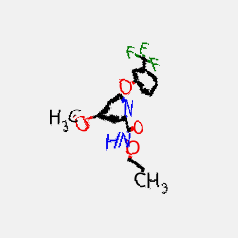 CCCONC(=O)c1cc(OC)cc(Oc2cccc(C(F)(F)F)c2)n1